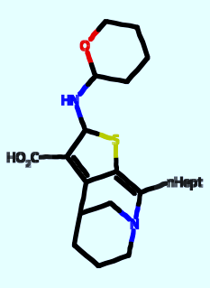 CCCCCCCC1=C2SC(NC3CCCCO3)C(C(=O)O)=C2C2CCCN1C2